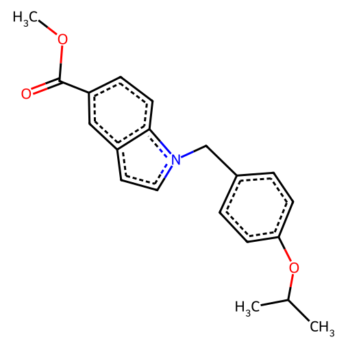 COC(=O)c1ccc2c(ccn2Cc2ccc(OC(C)C)cc2)c1